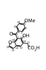 COc1ccc(C(=O)c2c(O)c(CC(=O)O)cc3ccoc23)cc1